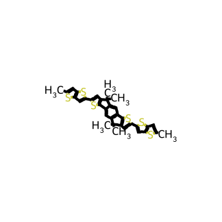 Cc1cc2sc(-c3cc4c(s3)-c3cc5c(cc3C4(C)C)-c3sc(-c4cc6sc(C)cc6s4)cc3C5(C)C)cc2s1